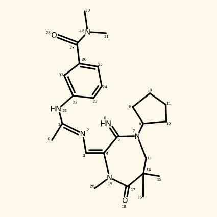 C/C(=N\C=C1/C(=N)N(C2CCCC2)CC(C)(C)C(=O)N1C)Nc1cccc(C(=O)N(C)C)c1